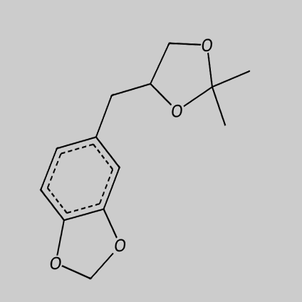 CC1(C)OCC(Cc2ccc3c(c2)OCO3)O1